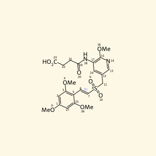 COc1cc(OC)c(/C=C/S(=O)(=O)Cc2cnc(OC)c(NC(=O)CCC(=O)O)c2)c(OC)c1